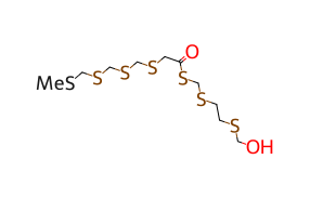 CSCSCSCSCC(=O)SCSCCSCO